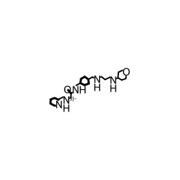 C[C@H](NCc1ccccn1)C(=O)NCc1ccc(CNCCCNC2CCOCC2)cc1